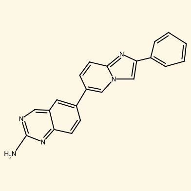 Nc1ncc2cc(-c3ccc4nc(-c5ccccc5)cn4c3)ccc2n1